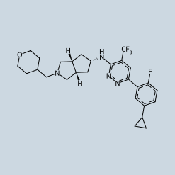 Fc1ccc(C2CC2)cc1-c1cc(C(F)(F)F)c(N[C@@H]2C[C@@H]3CN(CC4CCOCC4)C[C@@H]3C2)nn1